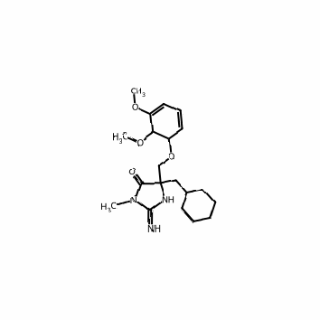 COC1=CC=CC(OCC2(CC3CCCCC3)NC(=N)N(C)C2=O)C1OC